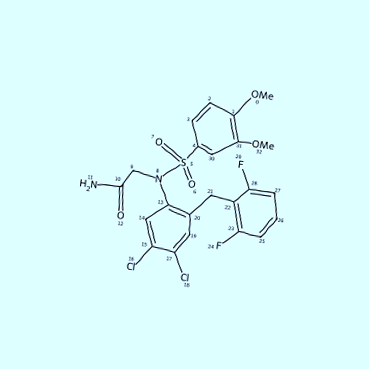 COc1ccc(S(=O)(=O)N(CC(N)=O)c2cc(Cl)c(Cl)cc2Cc2c(F)cccc2F)cc1OC